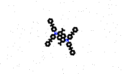 CC(C)C1=CC(N(c2ccc(C(C)(C)c3ccccc3)cc2)c2ccc(C(C)(C)c3ccccc3)cc2)c2ccc3c(C(C)C)cc(N(c4ccc(C(C)(C)c5ccccc5)cc4)c4ccc(C(C)(C)c5ccccc5)cc4)c4c3c2C1=CC4